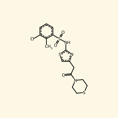 Cc1c(Cl)cccc1S(=O)(=O)Nc1nc(CC(=O)N2CCSCC2)cs1